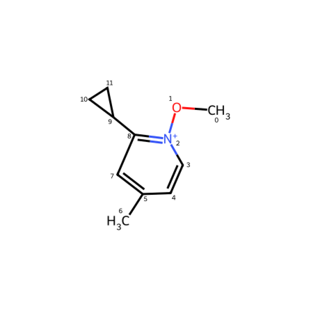 CO[n+]1ccc(C)cc1C1CC1